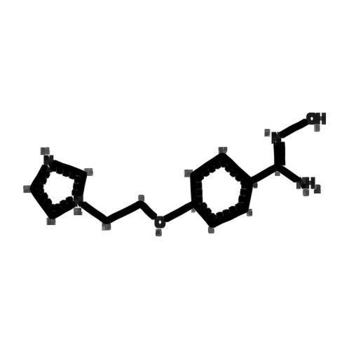 NC(=NO)c1ccc(OCCn2ccnc2)cc1